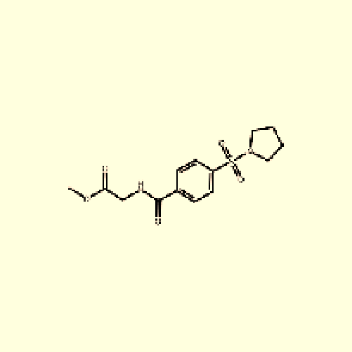 COC(=O)CNC(=O)c1ccc(S(=O)(=O)N2CCCC2)cc1